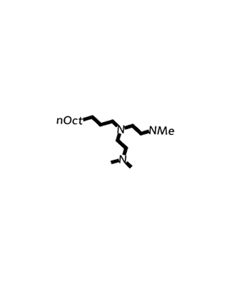 CCCCCCCCCCCN(CCNC)CCN(C)C